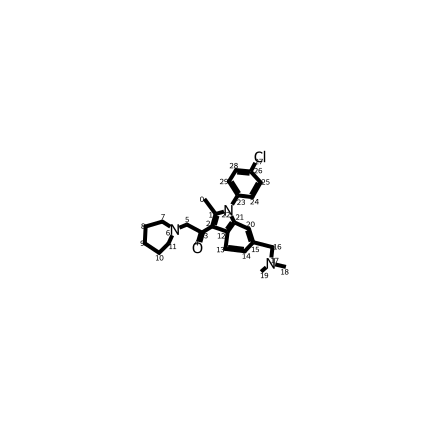 Cc1c(C(=O)CN2CCCCC2)c2ccc(CN(C)C)cc2n1-c1ccc(Cl)cc1